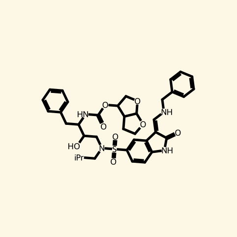 CC(C)CN(CC(O)C(Cc1ccccc1)NC(=O)OC1COC2OCCC12)S(=O)(=O)c1ccc2c(c1)C(=CNCc1ccccc1)C(=O)N2